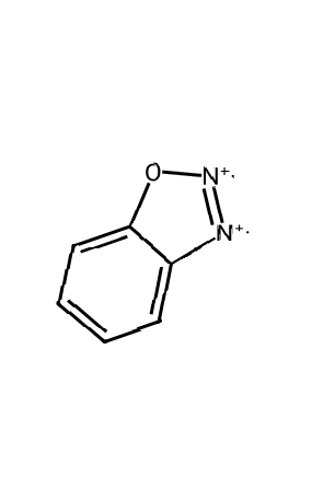 c1ccc2c(c1)[N+]=[N+]O2